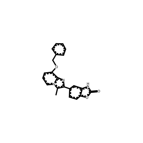 Cc1c(-c2ccc3oc(=O)[nH]c3c2)nc2c(OCc3ccccc3)cccn12